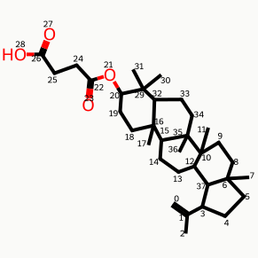 C=C(C)C1CCC2(C)CCC3(C)C(CCC4C5(C)CCC(OC(=O)CCC(=O)O)C(C)(C)C5CCC43C)C12